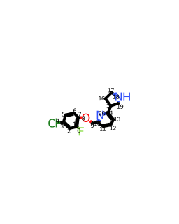 Fc1cc(Cl)ccc1OCc1cccc(C2CCNC2)n1